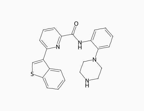 O=C(Nc1ccccc1N1CCNCC1)c1cccc(-c2csc3ccccc23)n1